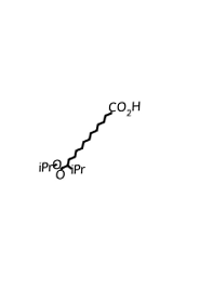 CC(C)OC(=O)C(CCCCCCCCCCCCC(=O)O)C(C)C